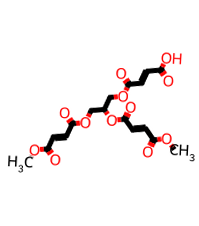 COC(=O)/C=C/C(=O)OCC(COC(=O)/C=C/C(=O)O)OC(=O)/C=C/C(=O)OC